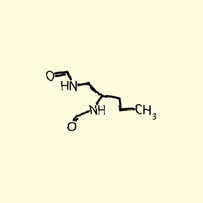 CCCC(CNC=O)NC=O